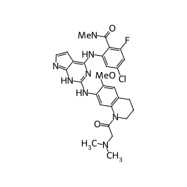 CNC(=O)c1c(F)cc(Cl)cc1Nc1nc(Nc2cc3c(cc2OC)CCCN3C(=O)CN(C)C)[nH]c2nccc1-2